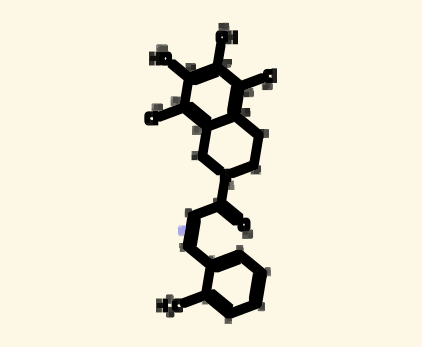 Cc1ccccc1/C=C\C(=O)N1CCc2c(Cl)c(O)c(O)c(Cl)c2C1